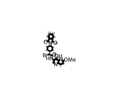 COc1ccc2ncc(NC(=O)C(Br)[C@H]3CC[C@H](N4C(=O)c5ccccc5C4=O)CC3)c(O)c2n1